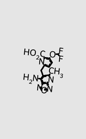 Cc1nc2nonc2c(N)c1Cc1ccc(OC(F)F)c(C(=O)O)n1